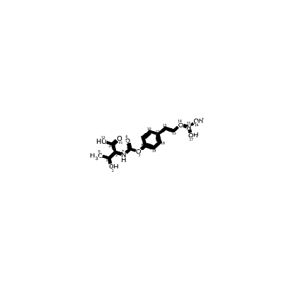 CC(O)C(NC(=O)Oc1ccc(CCON(O)O)cc1)C(=O)O